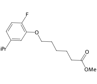 COC(=O)CCCCCOc1cc(C(C)C)ccc1F